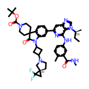 CC[C@H](C)n1cnc2cc(-c3ccc4c(c3)N(C3CC(N5CC[C@@]6(C5)CC6(F)F)C3)C(=O)C43CCN(C(=O)OC(C)(C)C)CC3)nc(Nc3ccc(C)c(C(=O)NC)c3)c21